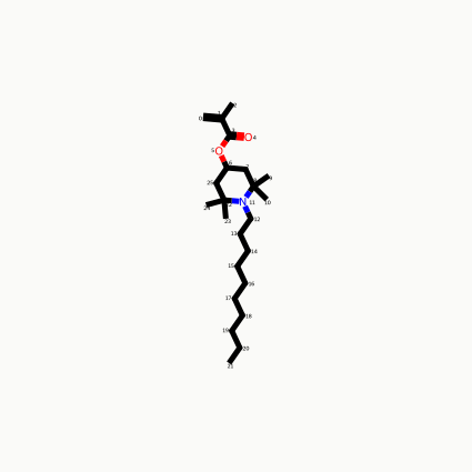 C=C(C)C(=O)OC1CC(C)(C)N(CCCCCCCCCC)C(C)(C)C1